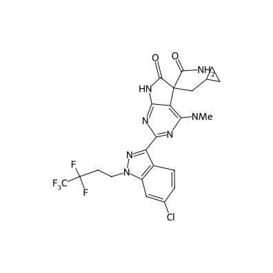 CNc1nc(-c2nn(CCC(F)(F)C(F)(F)F)c3cc(Cl)ccc23)nc2c1C(CC1CC1)(C(N)=O)C(=O)N2